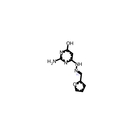 Nc1nc(O)cc(N/N=C/c2ccco2)n1